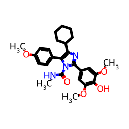 CNC(=O)n1c(-c2cc(OC)c(O)c(OC)c2)nc(C2CCCCC2)c1-c1ccc(OC)cc1